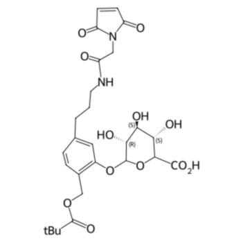 CC(C)(C)C(=O)OCc1ccc(CCCNC(=O)CN2C(=O)C=CC2=O)cc1OC1OC(C(=O)O)[C@@H](O)[C@H](O)[C@H]1O